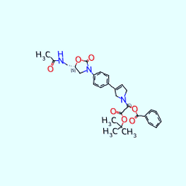 CC(=O)NC[C@H]1CN(c2ccc(C3=CCN([C@@H](OC(=O)c4ccccc4)C(=O)OC(C)(C)C)C3)cc2)C(=O)O1